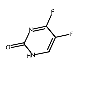 O=c1nc(F)c(F)c[nH]1